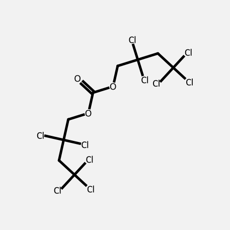 O=C(OCC(Cl)(Cl)CC(Cl)(Cl)Cl)OCC(Cl)(Cl)CC(Cl)(Cl)Cl